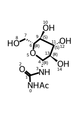 CC(=O)NC(=O)N[C@@H]1O[C@H](CO)[C@@H](O)[C@H](O)[C@H]1O